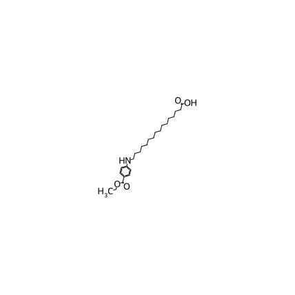 CCOC(=O)c1ccc(NCCCCCCCCCCCCCCCC(=O)O)cc1